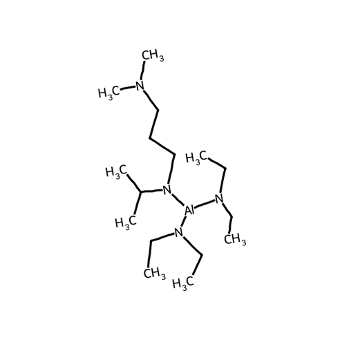 CC[N](CC)[Al]([N](CC)CC)[N](CCCN(C)C)C(C)C